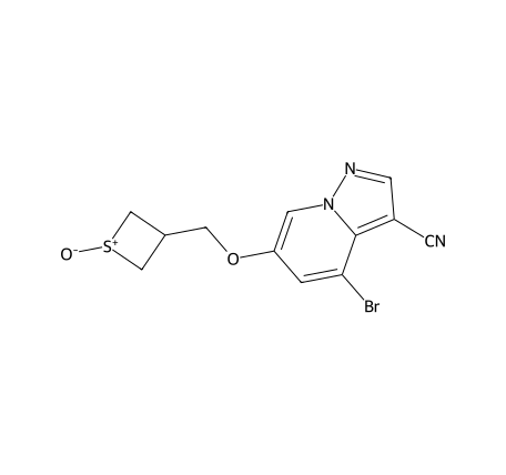 N#Cc1cnn2cc(OCC3C[S+]([O-])C3)cc(Br)c12